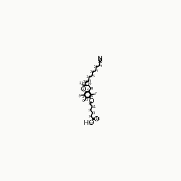 Cc1c(C)c2c(c(C)c1OCCCCCC(=O)O)CCC(C)(C=CCCCCCCC#N)O2